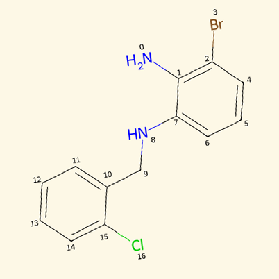 Nc1c(Br)cccc1NCc1ccccc1Cl